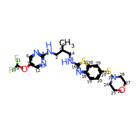 CC(CNc1ncc(OC(F)F)cn1)CNc1nc2ccc(SN3CCOCC3)cc2s1